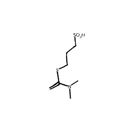 C=C(SCCCS(=O)(=O)O)N(C)C